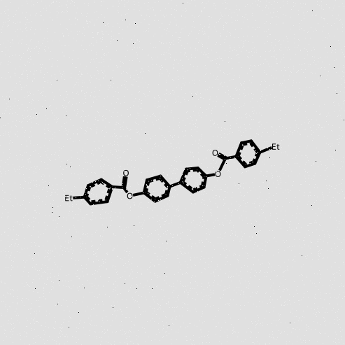 CCc1ccc(C(=O)Oc2ccc(-c3ccc(OC(=O)c4ccc(CC)cc4)cc3)cc2)cc1